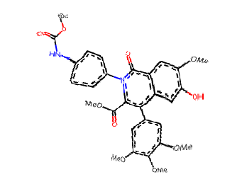 COC(=O)c1c(-c2cc(OC)c(OC)c(OC)c2)c2cc(O)c(OC)cc2c(=O)n1-c1ccc(NC(=O)OC(C)(C)C)cc1